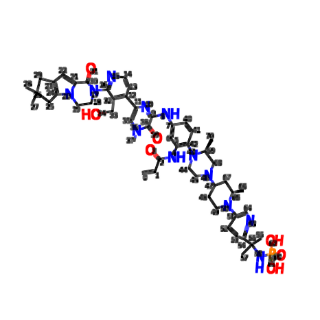 C=CC(=O)Nc1cc(Nc2nc(-c3ccnc(N4CCn5c(cc6c5CC(C)(C)C6)C4=O)c3CO)cn(C)c2=O)ccc1N1CCN(C2CCN(c3ccc(C(C)(C)NP(=O)(O)O)nc3)[C@H](C)C2)C[C@@H]1C